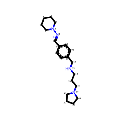 C(=N\N1CCCCC1)/c1ccc(CNCCCN2CCCC2)cc1